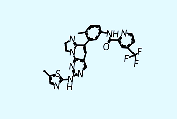 Cc1cnc(Nc2ncc3c(n2)N2CCN=C2C(c2cc(NC(=O)c4cc(C(F)(F)F)ccn4)ccc2C)=C3)s1